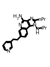 CCCc1nc2c(N)nc3cc(CCc4cccnc4)ccc3c2n1NC(C)C